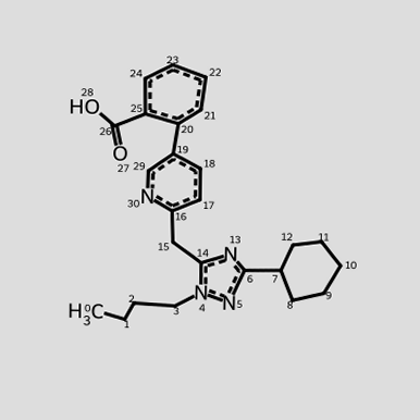 CCCCn1nc(C2CCCCC2)nc1Cc1ccc(-c2ccccc2C(=O)O)cn1